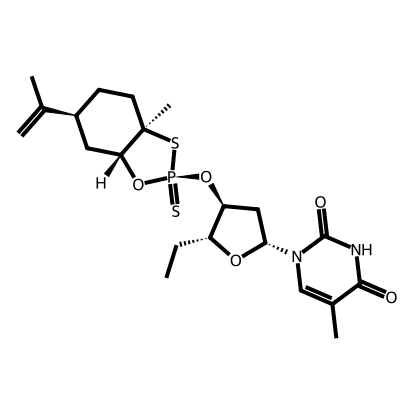 C=C(C)[C@H]1CC[C@@]2(C)S[P@@](=S)(O[C@H]3C[C@H](n4cc(C)c(=O)[nH]c4=O)O[C@@H]3CC)O[C@@H]2C1